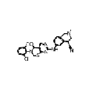 CN1Cc2ccc(Nc3ncc4c(n3)SCN(c3c(Cl)cccc3Cl)C4=O)cc2C(C#N)C1